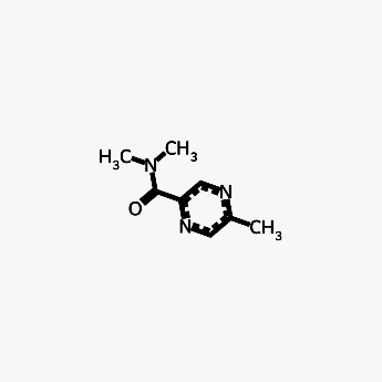 Cc1cnc(C(=O)N(C)C)cn1